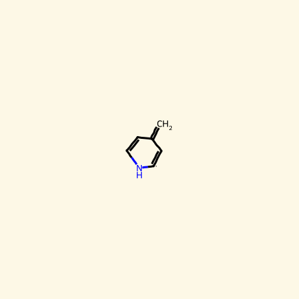 C=C1C=[C]NC=C1